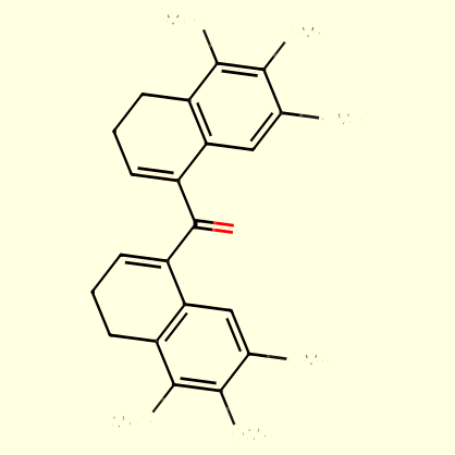 COc1cc2c(c(OC)c1OC)CCC=C2C(=O)C1=CCCc2c1cc(OC)c(OC)c2OC